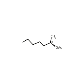 CC(=O)O[C@H](C)CCCCI